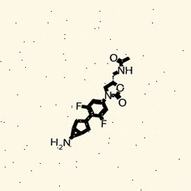 CC(=O)NC[C@H]1CN(c2cc(F)c(C3CC4C(N)C4C3)c(F)c2)C(=O)O1